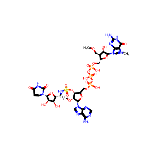 COC[C@@H]1[C@@H](COP(=O)(O)OP(=O)(O)OP(=O)(O)OCC2O[C@@H](n3cnc4c(N)ncnc43)[C@H](OC)[C@@H]2OS(=O)(=O)NC[C@H]2O[C@@H](n3ccc(=O)[nH]c3=O)[C@H](O)[C@@H]2O)OC(n2c[n+](C)c3c(=O)[nH]c(N)nc32)[C@@H]1O